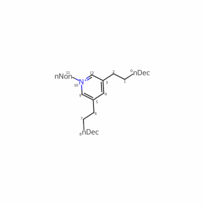 CCCCCCCCCCCCc1cc(CCCCCCCCCCCC)c[n+](CCCCCCCCC)c1